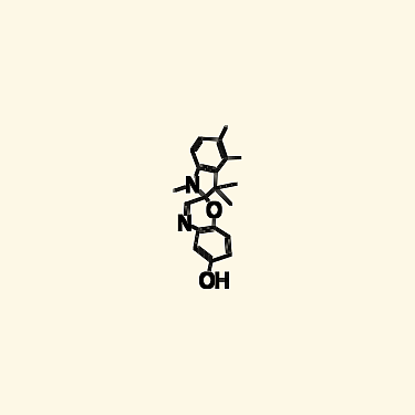 Cc1ccc2c(c1C)C(C)(C)C1(C=Nc3cc(O)ccc3O1)N2C